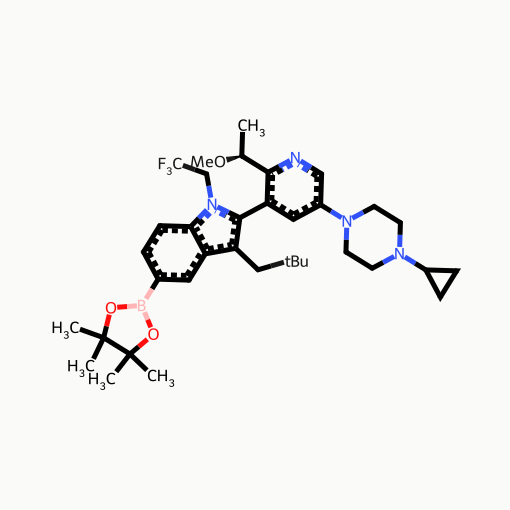 [CH2]C(C)(C)Cc1c(-c2cc(N3CCN(C4CC4)CC3)cnc2[C@H](C)OC)n(CC(F)(F)F)c2ccc(B3OC(C)(C)C(C)(C)O3)cc12